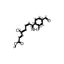 COC(=O)/C=C/C(Cl)=C/C=C\C(=N)c1ccc(C=O)cc1F